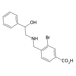 O=C(O)c1ccc(CNCC(O)c2ccccc2)c(Br)c1